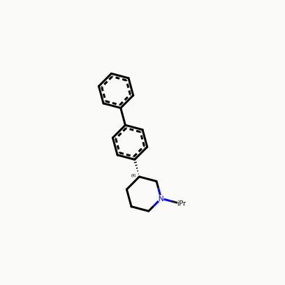 CC(C)N1CCC[C@H](c2ccc(-c3ccccc3)cc2)C1